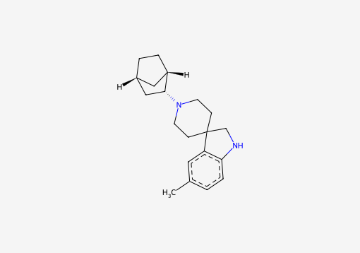 Cc1ccc2c(c1)C1(CCN([C@@H]3C[C@@H]4CC[C@H]3C4)CC1)CN2